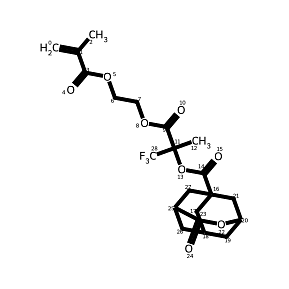 C=C(C)C(=O)OCCOC(=O)C(C)(OC(=O)C12CC3CC(C1)OC(=O)C(C3)C2)C(F)(F)F